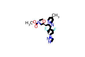 COC(=O)N1CCO[C@@H](Cc2c(-c3c(F)cc(-n4ccnn4)cc3F)nc3cc(C)ccn23)C1